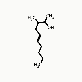 CCCC/C=C/CC(C)C(C)O